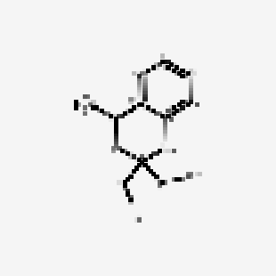 NC1CC(CF)(CF)Oc2ccccc21